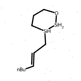 CCCC/C=C/C[SiH]1CCCO[SiH2]1